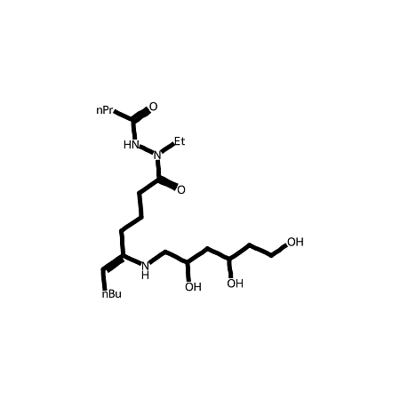 CCCC/C=C(/CCCC(=O)N(CC)NC(=O)CCC)NCC(O)CC(O)CCO